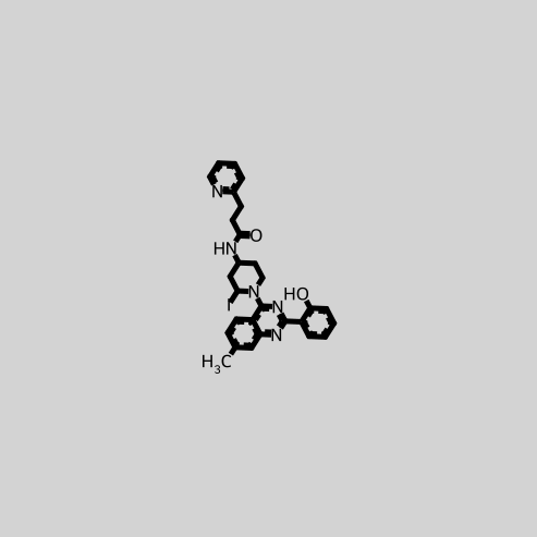 Cc1ccc2c(N3CCC(NC(=O)CCc4ccccn4)CC3I)nc(-c3ccccc3O)nc2c1